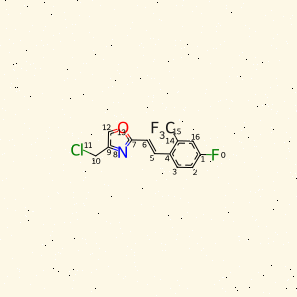 Fc1ccc(C=Cc2nc(CCl)co2)c(C(F)(F)F)c1